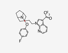 O=C(c1cn(CCCN2C3CCC2CC(Oc2ccc(F)cc2)C3)c2ncccc12)C(F)(F)F